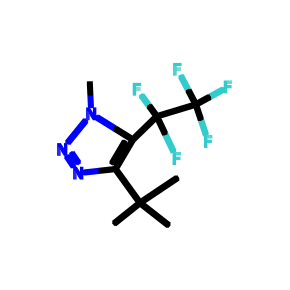 Cn1nnc(C(C)(C)C)c1C(F)(F)C(F)(F)F